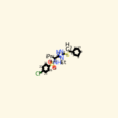 CCn1c(SC(C)c2ccccc2)nnc1C(NS(=O)(=O)c1ccc(Cl)cc1)C(C)C